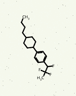 CCCCC1CCC(c2ccc(C(F)C(C)(F)F)cc2)CC1